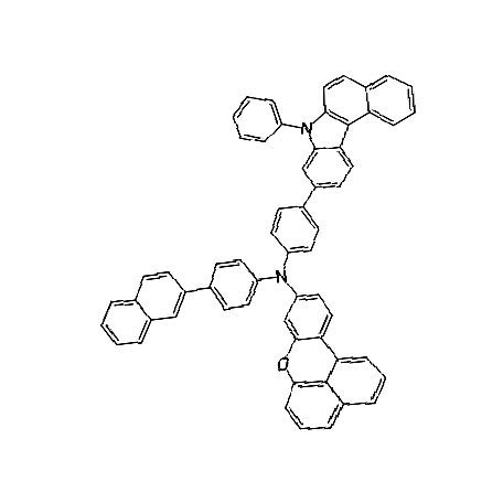 c1ccc(-n2c3cc(-c4ccc(N(c5ccc(-c6ccc7ccccc7c6)cc5)c5ccc6c(c5)Oc5cccc7cccc-6c57)cc4)ccc3c3c4ccccc4ccc32)cc1